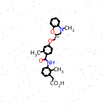 Cc1cc(OC[C@@H]2CN(C)c3ccccc3O2)ccc1C(=O)Nc1cccc(CC(=O)O)c1C